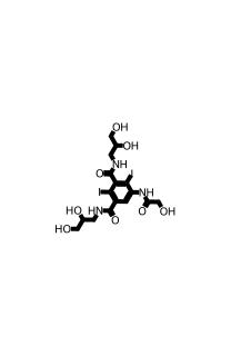 O=C(CO)Nc1cc(C(=O)NCC(O)CO)c(I)c(C(=O)NCC(O)CO)c1I